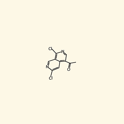 CC(=O)c1cnc(Cl)c2cnc(Cl)cc12